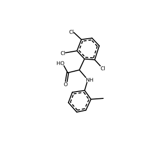 Cc1ccccc1NC(C(=O)O)c1c(Cl)ccc(Cl)c1Cl